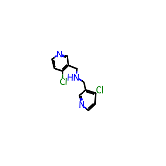 Clc1ccncc1CNCc1cnccc1Cl